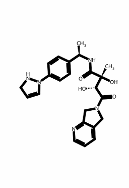 C[C@@H](NC(=O)[C@](C)(O)[C@@H](O)C(=O)N1Cc2cccnc2C1)c1ccc(N2C=CCN2)cc1